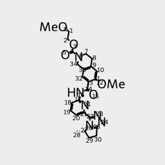 COCCOC(=O)N1CCc2cc(OC)c(C(=O)Nc3cccc(-c4nnc5n4[C@@H](C)CC5)n3)cc2C1